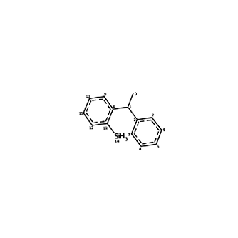 CC(c1ccccc1)c1ccccc1[SiH3]